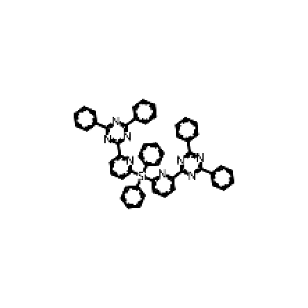 c1ccc(-c2nc(-c3ccccc3)nc(-c3cccc([Si](c4ccccc4)(c4ccccc4)c4cccc(-c5nc(-c6ccccc6)nc(-c6ccccc6)n5)n4)n3)n2)cc1